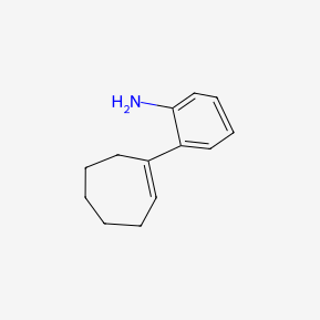 Nc1ccccc1C1=CCCCCC1